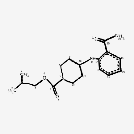 CC(C)COC(=O)N1CCC(Nc2ccccc2C(N)=O)CC1